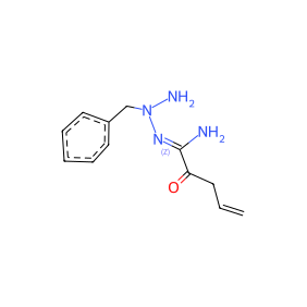 C=CCC(=O)/C(N)=N/N(N)Cc1ccccc1